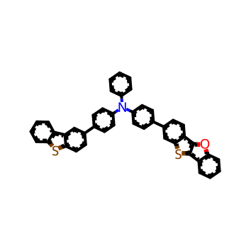 c1ccc(N(c2ccc(-c3ccc4c(c3)sc3c5ccccc5oc43)cc2)c2ccc(-c3ccc4sc5ccccc5c4c3)cc2)cc1